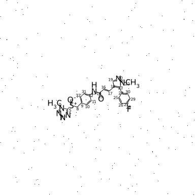 Cn1nnnc1[S+]([O-])Cc1ccc(NC(=O)C=Cc2cnn(C)c2-c2ccc(F)cc2)cc1